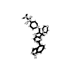 CN(C)S(=O)(=O)C1CCN(CC2Sc3cnc(-c4cccc5[nH]ncc45)nc3C2(C)N2CCOCC2)CC1